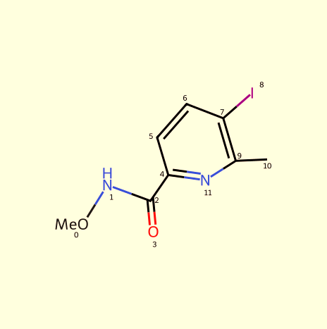 CONC(=O)c1ccc(I)c(C)n1